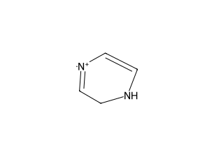 C1=CNCC=[N+]1